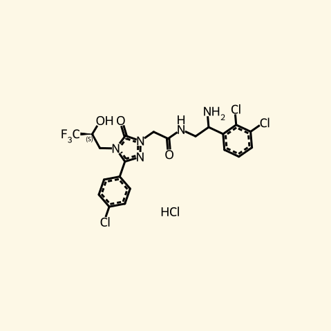 Cl.NC(CNC(=O)Cn1nc(-c2ccc(Cl)cc2)n(C[C@H](O)C(F)(F)F)c1=O)c1cccc(Cl)c1Cl